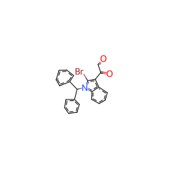 O=CC(=O)c1c(Br)n(C(c2ccccc2)c2ccccc2)c2ccccc12